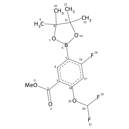 COC(=O)c1cc(B2OC(C)(C)C(C)(C)O2)c(F)cc1OC(F)F